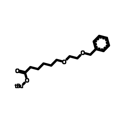 CC(C)(C)OC(=O)CCCCCOCCOCc1ccccc1